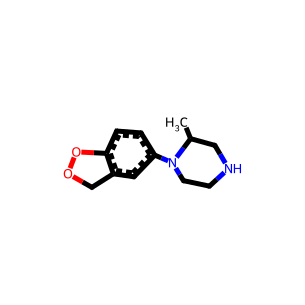 CC1CNCCN1c1ccc2c(c1)COO2